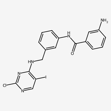 Nc1cccc(C(=O)Nc2cccc(CNc3nc(Cl)ncc3I)c2)c1